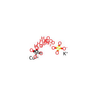 O.O.O.O.O.O.O=S(=O)([O-])[O-].[Cu+2].[K+].[O]=[Mn](=[O])(=[O])[O-]